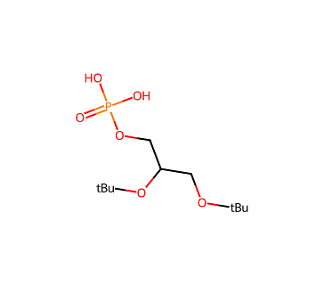 CC(C)(C)OCC(COP(=O)(O)O)OC(C)(C)C